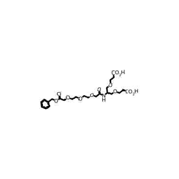 O=C(O)CCOCC(COCCC(=O)O)NC(=O)COCCOCCOCC(=O)OCc1ccccc1